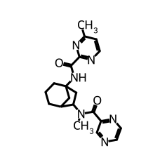 Cc1ccnc(C(=O)NC23CCCC(C2)C(N(C)C(=O)c2cnccn2)C3)n1